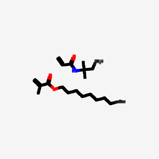 C=C(C)C(=O)OCCCCCCCCCCCCCCCCCC.C=CC(=O)NC(C)(C)CS(=O)(=O)O